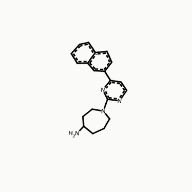 NC1CCCN(c2nccc(-c3ccc4ccccc4c3)n2)CC1